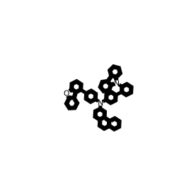 c1ccc(-n2c3ccccc3c3ccccc32)c(-c2ccc(N(c3ccc(-c4cccc5oc6ccccc6c45)cc3)c3ccc4ccc5ccccc5c4c3)cc2)c1